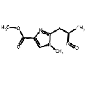 COC(=O)c1cn(C)c(CC(C)N=O)n1